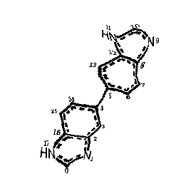 c1nc2cc(-c3ccc4nc[nH]c4c3)ccc2[nH]1